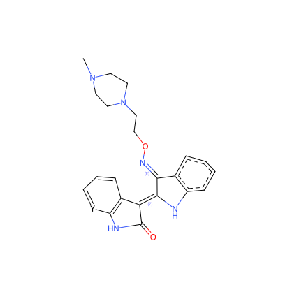 CN1CCN(CCO/N=C2/C(=C3/C(=O)N[C]4=C3C=C[CH]=[Y]4)Nc3ccccc32)CC1